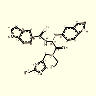 CC(C)CN(Cc1csc(C(C)C)n1)C(=O)[C@@H](Cc1ccc2occc2c1)NC(=O)c1ccc2occc2c1